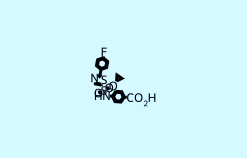 O=C(O)c1ccc(NS(=O)(=O)c2cnc(-c3ccc(F)cc3)s2)c(OC2CC2)c1